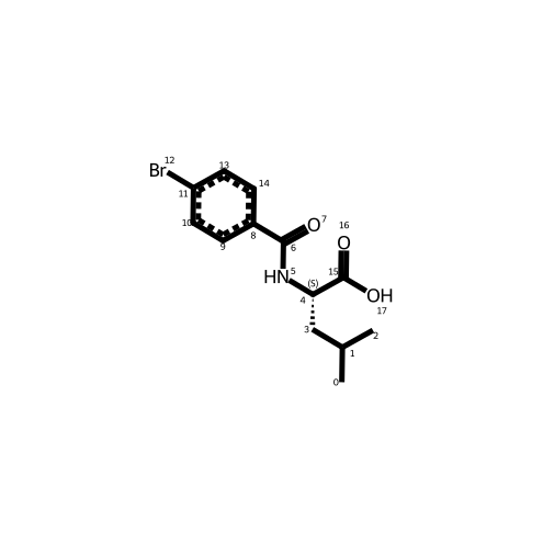 CC(C)C[C@H](NC(=O)c1ccc(Br)cc1)C(=O)O